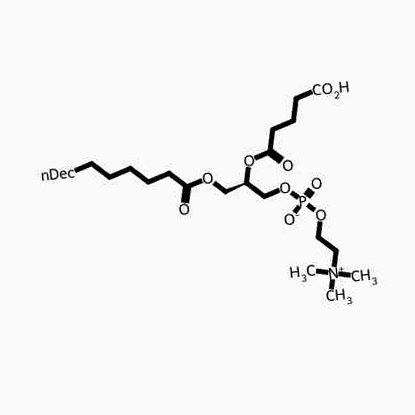 CCCCCCCCCCCCCCCC(=O)OC[C@H](COP(=O)([O-])OCC[N+](C)(C)C)OC(=O)CCCC(=O)O